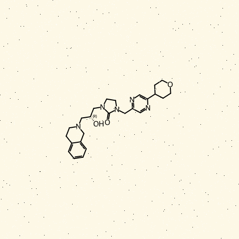 O=C1N(Cc2cnc(C3CCOCC3)cn2)CCN1C[C@H](O)CN1CCc2ccccc2C1